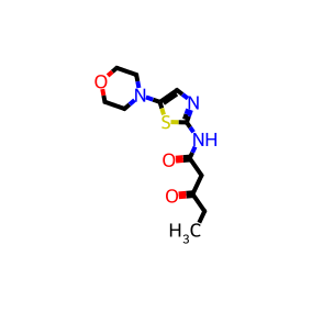 CCC(=O)CC(=O)Nc1ncc(N2CCOCC2)s1